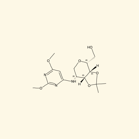 COc1cc(N[C@@H]2CO[C@H](CO)[C@@H]3OC(C)(C)O[C@@H]32)nc(OC)n1